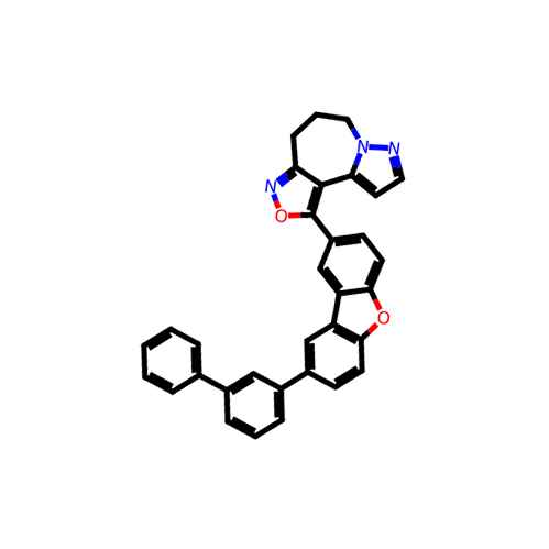 c1ccc(-c2cccc(-c3ccc4oc5ccc(-c6onc7c6-c6ccnn6CCC7)cc5c4c3)c2)cc1